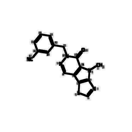 Cn1c2ncsc2c2cnn(Cc3cccc(C#N)c3)c(=O)c21